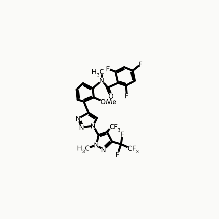 COc1c(-c2cn(-c3c(C(F)(F)F)c(C(F)(F)C(F)(F)F)nn3C)nn2)cccc1N(C)C(=O)c1c(F)cc(F)cc1F